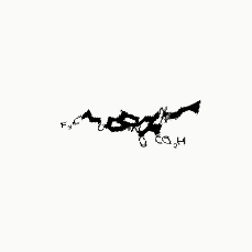 O=C1N[C@@]2(CCc3cc(OCCCC(F)(F)F)ccc32)Cc2nn(CCC3CC3)c(C(=O)O)c21